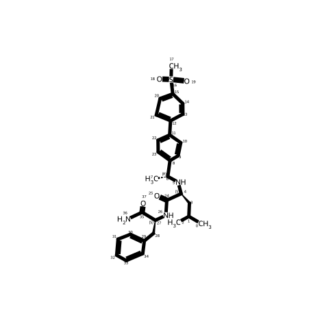 CC(C)C[C@H](N[C@H](C)c1ccc(-c2ccc(S(C)(=O)=O)cc2)cc1)C(=O)N[C@@H](Cc1ccccc1)C(N)=O